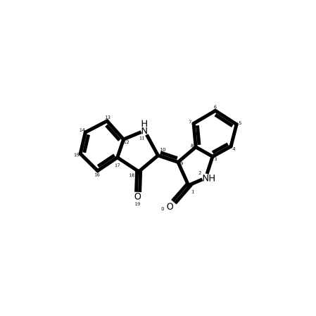 O=C1Nc2ccccc2C1=C1Nc2ccccc2C1=O